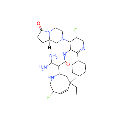 CCC1(C)/C=C\C(F)CNC(C(C(=O)NC2C(C3CCCCC3)=NCC(F)C2N2CCN3C(=O)CC[C@@H]3C2)C(N)N)C1